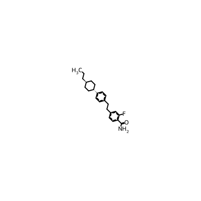 CCC[C@H]1CC[C@H](c2ccc(CCc3ccc(C(N)=O)c(F)c3)cc2)CC1